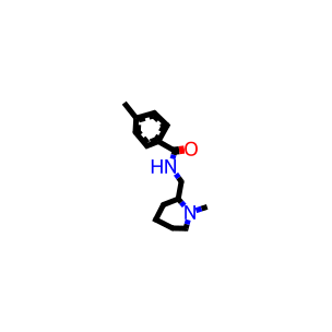 Cc1ccc(C(=O)NCC2CCCCN2C)cc1